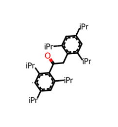 CC(C)c1[c]c(C(C)C)c(C(=O)Cc2c(C(C)C)cc(C(C)C)cc2C(C)C)c(C(C)C)c1